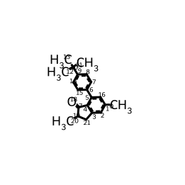 Cc1cc2c(c(-c3ccc(C(C)(C)C)cc3)c1)C(=O)C(C)C2